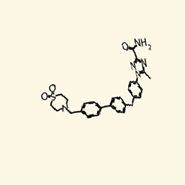 Cc1nc(C(N)=O)nn1-c1ccc(Cc2ccc(-c3ccc(CN4CCS(=O)(=O)CC4)cc3)cc2)cc1